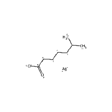 CC(C)CCCCC(=O)[O-].[Ag+]